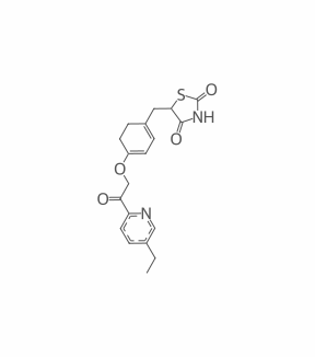 CCc1ccc(C(=O)COC2=CC=C(CC3SC(=O)NC3=O)CC2)nc1